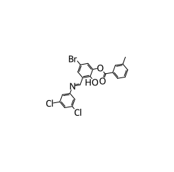 Cc1cccc(C(=O)Oc2cc(Br)cc(C=Nc3cc(Cl)cc(Cl)c3)c2O)c1